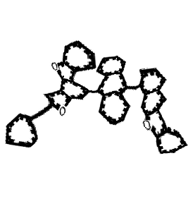 c1ccc(-c2cc3c(cc(-c4c5ccccc5c(-c5cccc6cc7c(cc56)oc5ccccc57)c5ccccc45)c4c5ccccc5oc34)o2)cc1